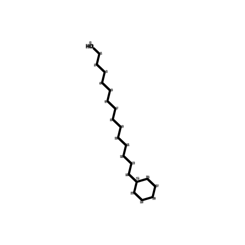 OCCCCCCCCCCCCCCC1CCCCC1